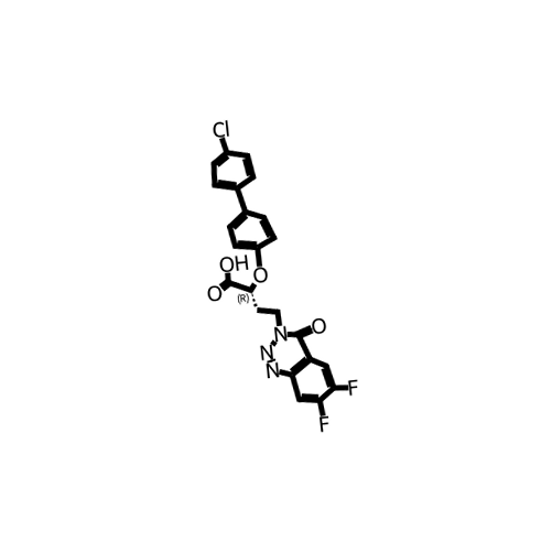 O=C(O)[C@@H](CCn1nnc2cc(F)c(F)cc2c1=O)Oc1ccc(-c2ccc(Cl)cc2)cc1